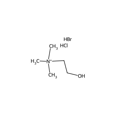 Br.C[N+](C)(C)CCO.Cl